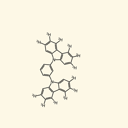 [2H]c1cc2c(c([2H])c1[2H])c1c([2H])c([2H])c([2H])cc1n2-c1cccc(-n2c3cc([2H])c([2H])c([2H])c3c3c([2H])c([2H])c([2H])cc32)c1